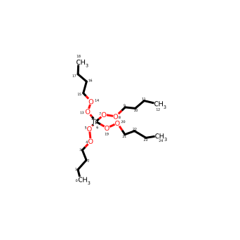 CCCCO[O][Ti]([O]OCCCC)([O]OCCCC)[O]OCCCC